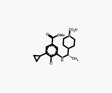 COC(=O)c1cc(N[C@@H](C)C2CCN(C(=O)O)CC2)c(Cl)c(C2CC2)c1